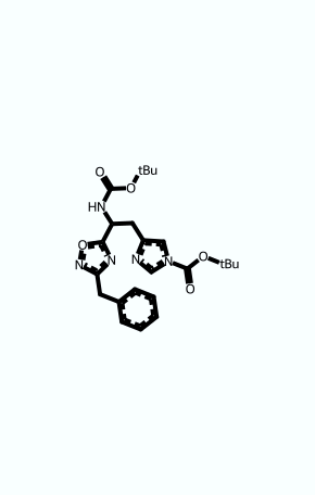 CC(C)(C)OC(=O)NC(Cc1cn(C(=O)OC(C)(C)C)cn1)c1nc(Cc2ccccc2)no1